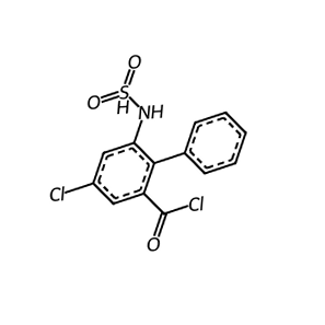 O=C(Cl)c1cc(Cl)cc(N[SH](=O)=O)c1-c1ccccc1